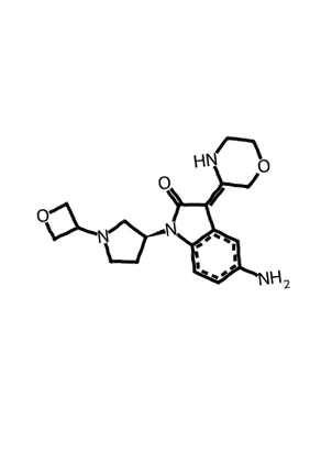 Nc1ccc2c(c1)/C(=C1\COCCN1)C(=O)N2[C@H]1CCN(C2COC2)C1